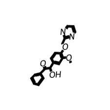 COc1cc(C(O)C(=O)c2ccccc2)ccc1OCc1ncccn1